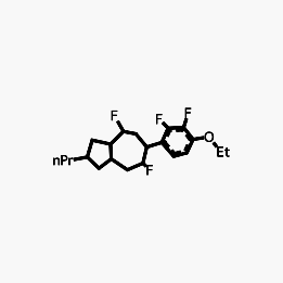 CCCC1CC2CC(F)C(c3ccc(OCC)c(F)c3F)CC(F)C2C1